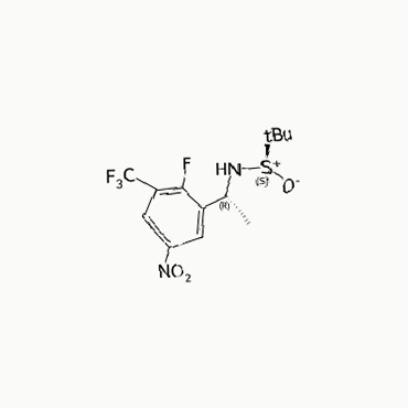 C[C@@H](N[S@+]([O-])C(C)(C)C)c1cc([N+](=O)[O-])cc(C(F)(F)F)c1F